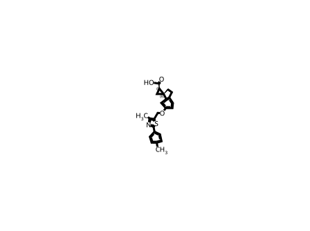 Cc1ccc(-c2nc(C)c(COc3ccc4c(c3)[C@]3(CC4)C[C@H]3C(=O)O)s2)cc1